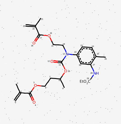 C=C(C)C(=O)OCCC(C)OC(=O)N(CCOC(=O)C(=C)C)c1ccc(C)c(NC(=O)OCC)c1